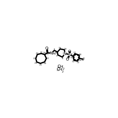 O=C(NCC1CCN(S(=O)(=O)c2ccc(F)cc2)CC1)[C]1CCCCCCC1.[CH2].[CH2]